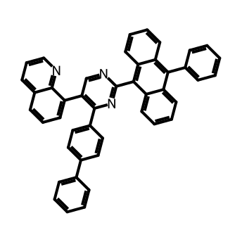 c1ccc(-c2ccc(-c3nc(-c4c5ccccc5c(-c5ccccc5)c5ccccc45)ncc3-c3cccc4cccnc34)cc2)cc1